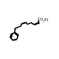 CCOC(=O)/C=C\CC/C=C\CCc1ccccc1